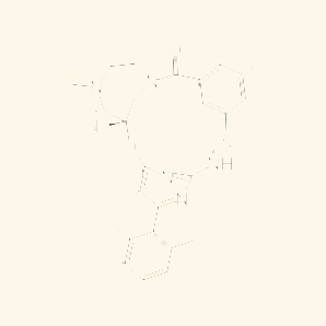 Cc1cccc(C)c1-c1cc2nc(n1)NSc1cccc(c1)C(=O)N1CCN(C)C[C@H](C1)O2